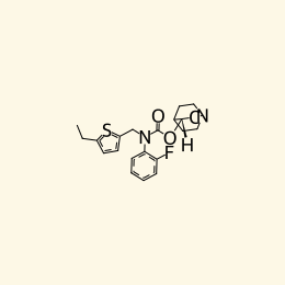 CCc1ccc(CN(C(=O)O[C@H]2CN3CCC2CC3)c2ccccc2F)s1